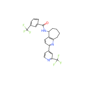 O=C(NC1CCCCc2nc(-c3ccnc(C(F)(F)F)c3)ccc21)c1cccc(C(F)(F)F)c1